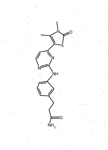 Cc1c(-c2ccnc(Nc3cccc(CCC(N)=O)c3)n2)sc(=O)n1C